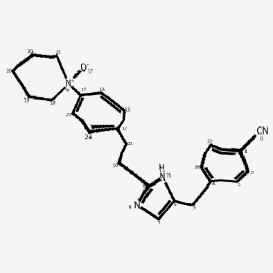 N#Cc1ccc(Cc2cnc(CCc3ccc([N+]4([O-])CCCCC4)cc3)[nH]2)cc1